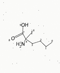 CCCCC(N)(I)C(=O)O